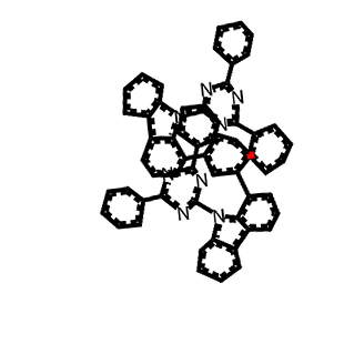 c1ccc(-c2nc(-c3ccccc3)nc(-n3c4ccccc4c4cccc(-c5cccc(-c6cccc7c8ccccc8n(-c8nc(-c9ccccc9)nc(-c9ccccc9)n8)c67)c5)c43)n2)cc1